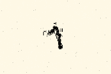 CS/C(=C\C(=O)Nc1ccc2[nH]nc(-c3ccc(OC(C)C)nc3)c2c1)[C@H]1CCN(CC(=O)C2CCN(c3ccc(-c4ncccn4)cn3)CC2)C1